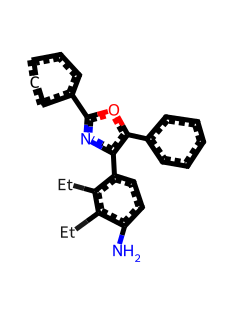 CCc1c(N)ccc(-c2nc(-c3ccccc3)oc2-c2ccccc2)c1CC